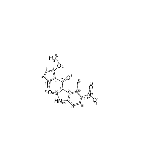 COc1cc[nH]c1C(=O)C1C(=O)Nc2ccc([N+](=O)[O-])c(F)c21